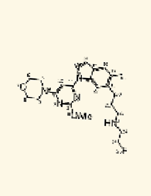 COc1nc(N2CCOCC2)cc(-n2ncc3cc(C)c(CCCNCCF)cc32)n1